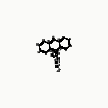 I.I.I.O.[I-].c1ccc2[se+]c3ccccc3nc2c1